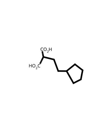 O=C(O)C(CCC1CCCC1)C(=O)O